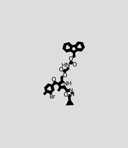 Cc1ccc(C(=O)c2c(COC(=O)CNC(=O)OCC3c4ccccc4-c4ccccc43)[nH]c(-c3nnc(C4CC4)o3)c2C)cc1Br